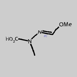 CO/C=N/N(C)C(=O)O